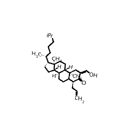 C=CC[C@@H]1C(=O)/C(=C\O)C[C@@]2(C)C1CC[C@H]1[C@@H]3CC[C@H]([C@H](C)CCCC(C)C)[C@@]3(C)CC[C@@H]12